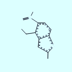 [CH2]Cc1c([N+](=O)[O-])ccc2[nH]c(C)cc12